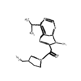 CC(C)c1ncnc2c1cc(C(=O)N1CCC(N)C1)n2C